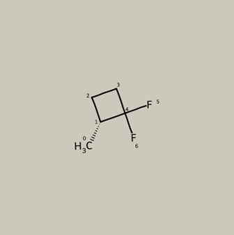 C[C@@H]1CCC1(F)F